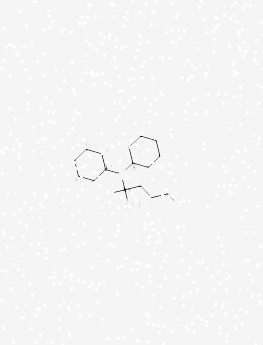 CCCCC(C)(P)P(C1CCCCC1)C1CCCCC1